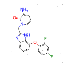 Nc1cccn(Cc2nc3cccc(Oc4ccc(F)cc4F)c3[nH]2)c1=O